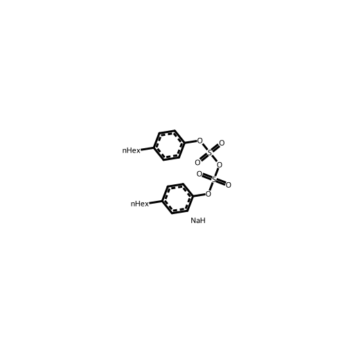 CCCCCCc1ccc(OS(=O)(=O)OS(=O)(=O)Oc2ccc(CCCCCC)cc2)cc1.[NaH]